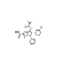 COc1cccc(-c2c(-c3ccccc3)c3sc(C(=O)O)cc3n2CC(=O)N(C)C)c1